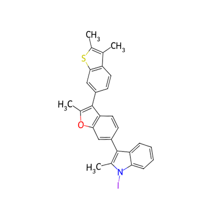 Cc1oc2cc(-c3c(C)n(I)c4ccccc34)ccc2c1-c1ccc2c(C)c(C)sc2c1